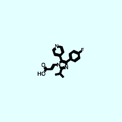 CC(C)c1nc(-c2ccc(F)cc2)c(-c2ccncc2)n1C=CC(=O)O